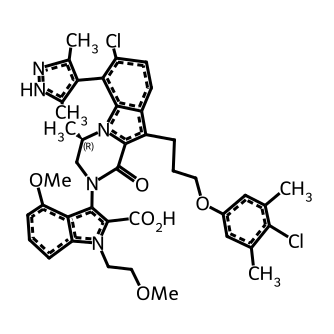 COCCn1c(C(=O)O)c(N2C[C@@H](C)n3c(c(CCCOc4cc(C)c(Cl)c(C)c4)c4ccc(Cl)c(-c5c(C)n[nH]c5C)c43)C2=O)c2c(OC)cccc21